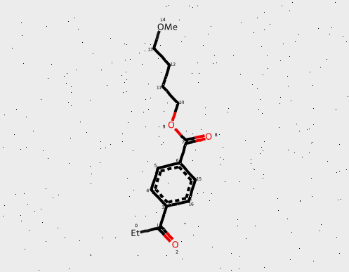 CCC(=O)c1ccc(C(=O)OCCCCOC)cc1